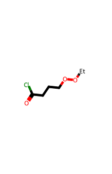 CCOOCCCC(=O)Cl